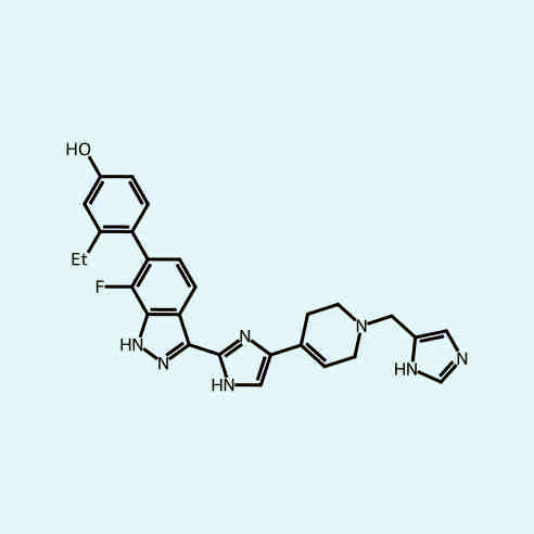 CCc1cc(O)ccc1-c1ccc2c(-c3nc(C4=CCN(Cc5cnc[nH]5)CC4)c[nH]3)n[nH]c2c1F